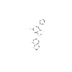 Nc1nc(-c2ccco2)c2nnn(-c3cc(F)c4[nH]ccc4c3)c2n1